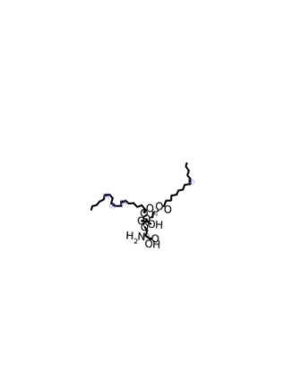 CCCC/C=C\CCCCCCCC(=O)OC[C@H](COP(=O)(O)OC[C@H](N)C(=O)O)OC(=O)CCCC/C=C\C/C=C\C/C=C\CCCCC